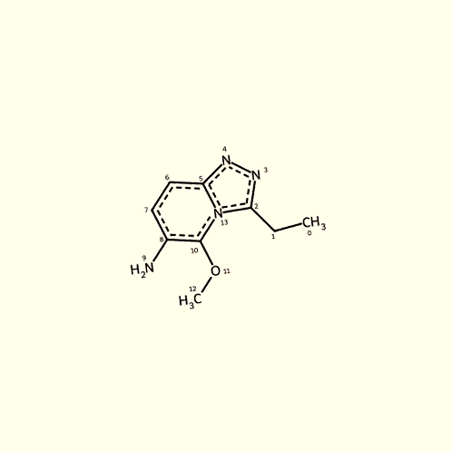 CCc1nnc2ccc(N)c(OC)n12